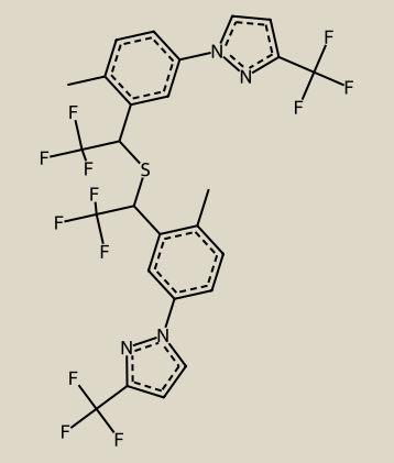 Cc1ccc(-n2ccc(C(F)(F)F)n2)cc1C(SC(c1cc(-n2ccc(C(F)(F)F)n2)ccc1C)C(F)(F)F)C(F)(F)F